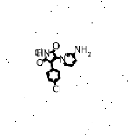 Nc1ccc[n+](C2=C(c3ccc(Cl)cc3)C(=O)NC2=O)c1.[Cl-]